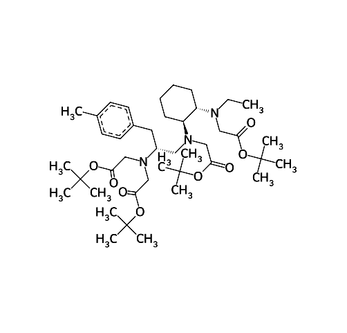 CCN(CC(=O)OC(C)(C)C)[C@H]1CCCC[C@@H]1N(CC(=O)OC(C)(C)C)C[C@@H](Cc1ccc(C)cc1)N(CC(=O)OC(C)(C)C)CC(=O)OC(C)(C)C